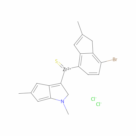 CC1=CC2=[C]([Zr+2](=[S])[c]3ccc(Br)c4c3C=C(C)C4)CN(C)C2=C1.[Cl-].[Cl-]